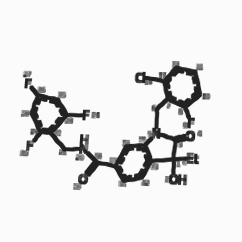 CCC1(O)C(=O)N(Cc2c(F)cccc2Cl)c2cc(C(=O)NCc3c(F)cc(F)cc3F)ccc21